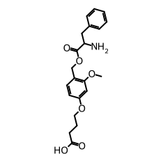 COc1cc(OCCCC(=O)O)ccc1COC(=O)C(N)Cc1ccccc1